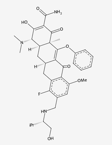 COc1cc(CN[C@H](CO)C(C)C)c(F)c2c1C(=O)C1=C(Oc3ccccc3)[C@]3(C)C(=O)C(C(N)=O)=C(O)[C@@H](N(C)C)[C@@H]3C[C@@H]1C2